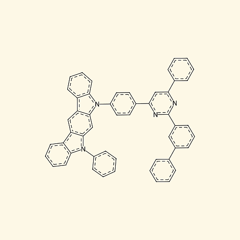 c1ccc(-c2cccc(-c3nc(-c4ccccc4)cc(-c4ccc(-n5c6ccccc6c6cc7c8ccccc8n(-c8ccccc8)c7cc65)cc4)n3)c2)cc1